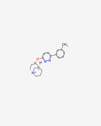 Cc1cccc(-c2ccc(O[C@H]3CC[N@@]4CCC[C@H]3C4)nn2)c1